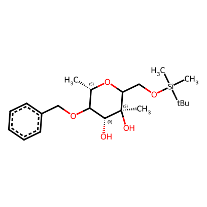 C[C@@H]1OC(CO[Si](C)(C)C(C)(C)C)[C@@](C)(O)[C@H](O)C1OCc1ccccc1